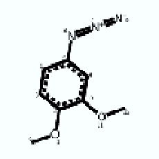 COc1ccc(N=[N+]=[N-])cc1OC